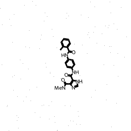 CNC(=O)c1nc[nH]c1C(=O)Nc1ccc(NC(=O)c2ccccc2C)cc1